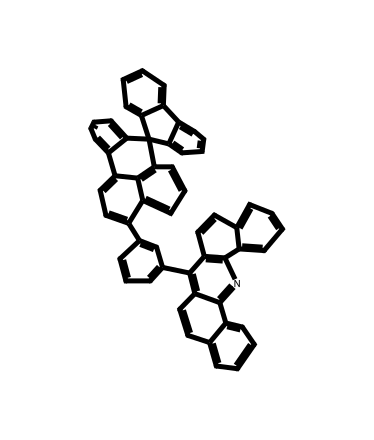 c1cc(-c2ccc3c4c(cccc24)C2(c4ccccc4-c4ccccc42)c2ccccc2-3)cc(-c2c3ccc4ccccc4c3nc3c2ccc2ccccc23)c1